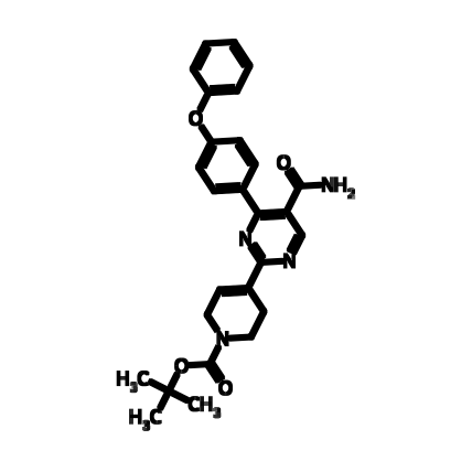 CC(C)(C)OC(=O)N1CC=C(c2ncc(C(N)=O)c(-c3ccc(Oc4ccccc4)cc3)n2)CC1